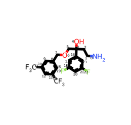 NCCC(O)(COCc1cc(C(F)(F)F)cc(C(F)(F)F)c1)c1cc(F)cc(F)c1